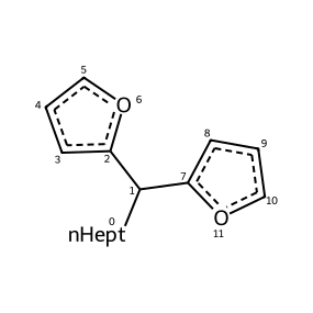 CCCCCCCC(c1ccco1)c1ccco1